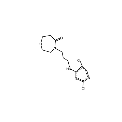 O=C1CCOCCN1CCCNc1nc(Cl)ncc1Cl